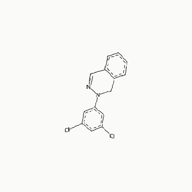 Clc1cc(Cl)cc(N2Cc3ccccc3C=N2)c1